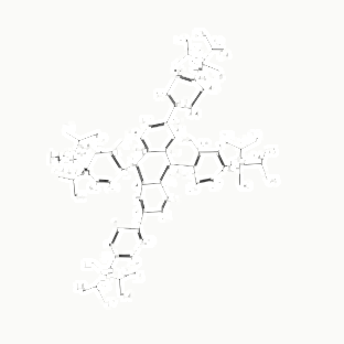 CC1=C(c2c3cc(-c4ccc([Si](C)(C(C)C)C(C)C)cc4)ccc3c(-c3ccc([Si](C)(C(C)C)C(C)C)cc3C)c3cc(-c4ccc([Si](C)(C(C)C)C(C)C)cc4)ccc23)C=CC(C(C)C)([SiH](C)C(C)C)C1